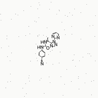 C[C@H](NC(=O)Nc1ccc(C#N)cc1)c1ncnn1-c1ncccn1